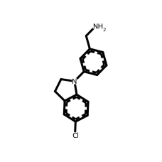 NCc1cccc(N2CCc3cc(Cl)ccc32)c1